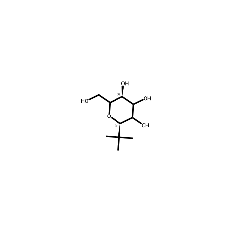 CC(C)(C)[C@H]1OC(CO)[C@@H](O)C(O)C1O